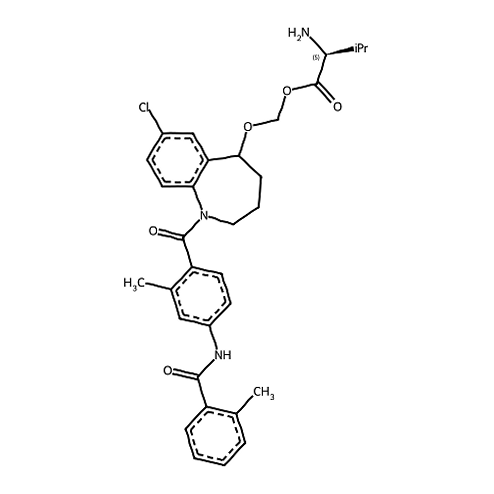 Cc1ccccc1C(=O)Nc1ccc(C(=O)N2CCCC(OCOC(=O)[C@@H](N)C(C)C)c3cc(Cl)ccc32)c(C)c1